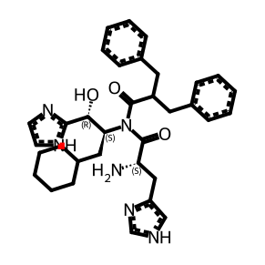 N[C@@H](Cc1c[nH]cn1)C(=O)N(C(=O)C(Cc1ccccc1)Cc1ccccc1)[C@@H](CC1CCCCC1)[C@@H](O)c1ncc[nH]1